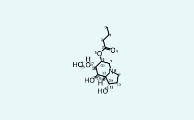 CCCC(=O)O[C@H]1CN2CC[C@H](O)[C@@H]2[C@@H](O)[C@@H]1O.Cl